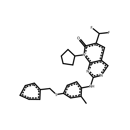 Cc1cc(SCc2ccccc2)ccc1Nc1ncc2cc(C(F)F)c(=O)n(C3CCCC3)c2n1